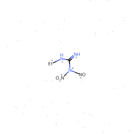 CCNC(=N)N(N=O)[N+](=O)[O-]